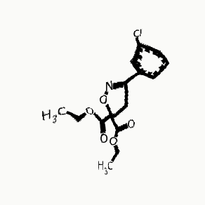 CCOC(=O)C1(C(=O)OCC)CC(c2cccc(Cl)c2)=NO1